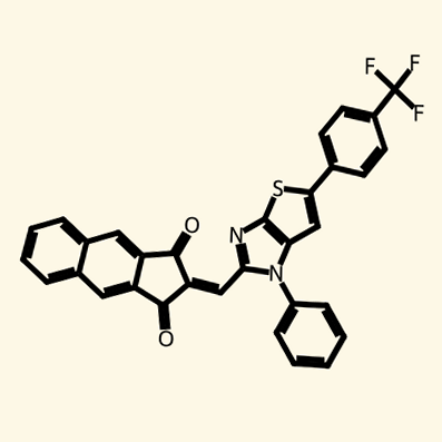 O=C1C(=Cc2nc3sc(-c4ccc(C(F)(F)F)cc4)cc3n2-c2ccccc2)C(=O)c2cc3ccccc3cc21